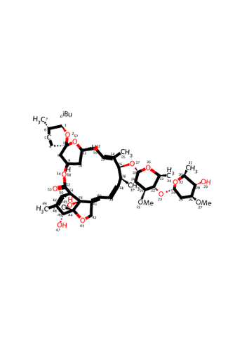 CC[C@H](C)[C@H]1O[C@]2(CC[C@@H]1C)C[C@@H]1C[C@@H](C/C=C(\C)[C@@H](O[C@H]3C[C@H](OC)[C@@H](O[C@H]4C[C@H](OC)[C@@H](O)[C@H](C)O4)[C@H](C)O3)[C@@H](C)/C=C/C=C3\CO[C@]4(C)[C@H](O)C(C)=C[C@@H](C(=O)O1)[C@]34O)O2